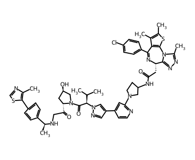 Cc1ncsc1-c1ccc([C@H](C)NCC(=O)[C@@H]2C[C@@H](O)CN2C(=O)[C@@H](C(C)C)n2cc(-c3ccnc(N4CCC(NC(=O)C[C@@H]5N=C(c6ccc(Cl)cc6)c6c(sc(C)c6C)-n6c(C)nnc65)C4)c3)cn2)cc1